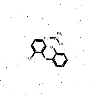 Cc1ccccc1[P]c1ccccc1C.P.[CH3][Sn][CH3]